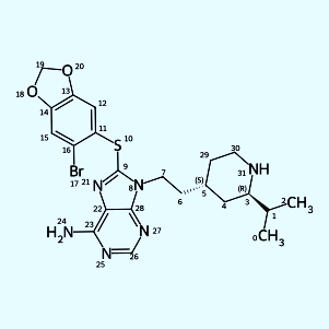 CC(C)[C@H]1C[C@H](CCn2c(Sc3cc4c(cc3Br)OCO4)nc3c(N)ncnc32)CCN1